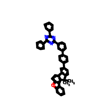 CC1(C)c2ccc(-c3ccc(-c4cccc(-c5nc(-c6ccccc6)nc(-c6ccccc6)n5)c4)cc3)cc2-c2ccc3oc4ccccc4c3c21